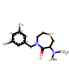 CC(C)(C)N(C(=O)O)C1CSCCN(Cc2cc(F)cc(F)c2)C1=O